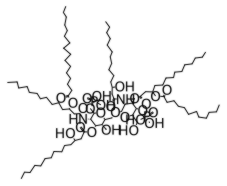 CCCCCCCCCCCCCCCC(=O)OC(CCCCCCCCCCC)CC(=O)N[C@@H]1C(OP(=O)(O)O)OC(CO[C@@H]2OC(CO)C(OP(=O)(O)O)C(OC(=O)CC(CCCCCCCCCCC)OC(=O)CCCCCCCCCCC)[C@@H]2NC(=O)CC(O)CCCCCCCCCCC)[C@@H](O)C1OC(=O)CC(O)CCCCCCCCCCC